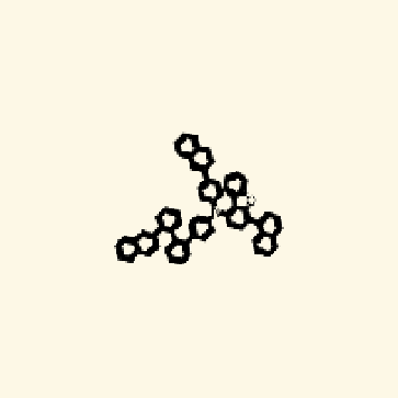 c1ccc(-c2ccccc2-c2ccc3ccccc3c2)c(-c2ccc(N(c3ccc(-c4ccc5ccccc5c4)cc3)c3ccc(-c4cccc5ccccc45)c4oc5ccccc5c34)cc2)c1